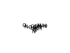 COc1c(OCCCN2CCOCC2)ccc2c1N=C(NC(=O)c1cnc(NCCCN3CCCCC3)nc1)N1CCN=C21